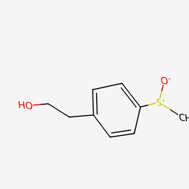 C[S+]([O-])c1ccc(CCO)cc1